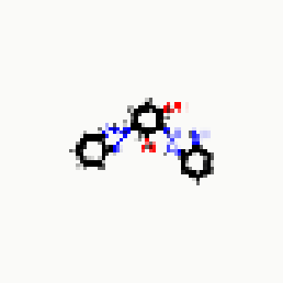 N=C1C=CC=C/C1=N/Nc1c(O)ccc(-n2nc3ccccc3n2)c1O